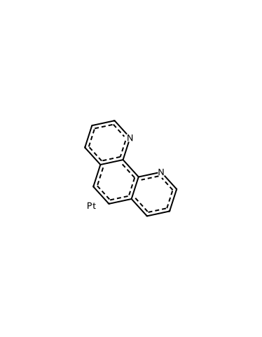 [Pt].c1cnc2c(c1)ccc1cccnc12